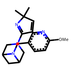 COc1ccc(CN2C3CC2CN(C2=NC(C)(C)C=C2)C3)cn1